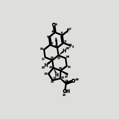 C[C@@]12C(=CC(=O)C(F)=C1F)CC[C@@H]1[C@@H]2CC[C@]2(C)[C@@H](C(=O)O)CC[C@@H]12